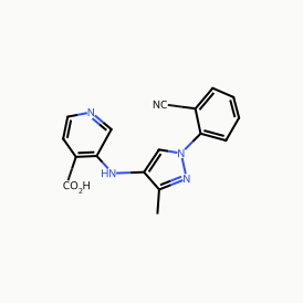 Cc1nn(-c2ccccc2C#N)cc1Nc1cnccc1C(=O)O